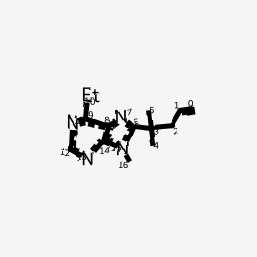 C=CCC(C)(C)c1nc2c(CC)ncnc2n1C